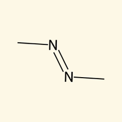 CN=NC